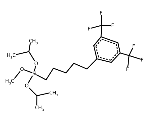 CO[Si](CCCCCc1cc(C(F)(F)F)cc(C(F)(F)F)c1)(OC(C)C)OC(C)C